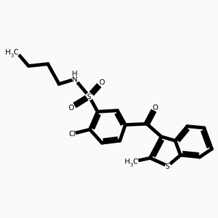 CCCCNS(=O)(=O)c1cc(C(=O)c2c(C)sc3ccccc23)ccc1Cl